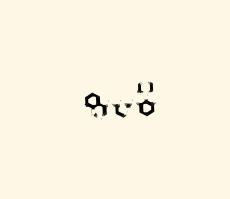 Cc1cccc2c(Nc3ccnc(Nc4cccc(Cl)c4N4CCOCC4)n3)cnnc12